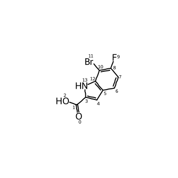 O=C(O)c1cc2ccc(F)c(Br)c2[nH]1